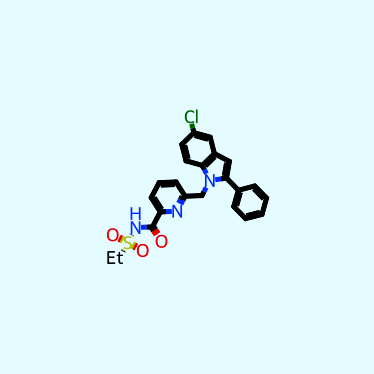 CCS(=O)(=O)NC(=O)c1cccc(Cn2c(-c3ccccc3)cc3cc(Cl)ccc32)n1